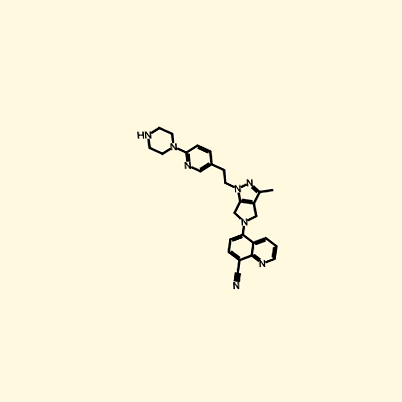 Cc1nn(CCc2ccc(N3CCNCC3)nc2)c2c1CN(c1ccc(C#N)c3ncccc13)C2